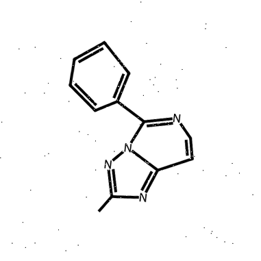 Cc1nc2ccnc(-c3ccccc3)n2n1